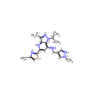 Cc1csc(-c2cc(NCc3cnn(C)c3)c3c(n2)c(C)nn3C(C)C)n1